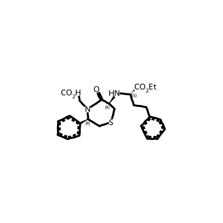 CCOC(=O)[C@H](CCc1ccccc1)N[C@H]1CSC[C@@H](c2ccccc2)N(CC(=O)O)C1=O